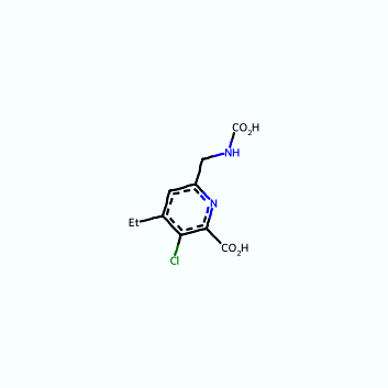 CCc1cc(CNC(=O)O)nc(C(=O)O)c1Cl